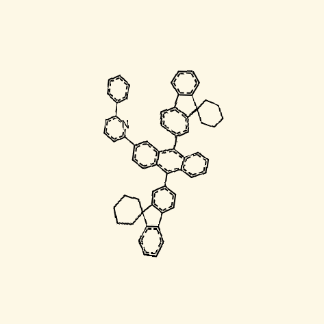 c1ccc(-c2cccc(-c3ccc4c(-c5ccc6c(c5)C5(CCCCC5)c5ccccc5-6)c5ccccc5c(-c5ccc6c(c5)C5(CCCCC5)c5ccccc5-6)c4c3)n2)cc1